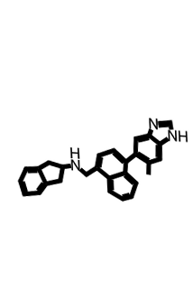 Cc1cc2[nH]cnc2cc1-c1ccc(CNC2Cc3ccccc3C2)c2ccccc12